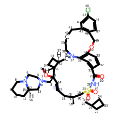 CO[C@@]1(CN2CCN3CCCC[C@@H]3C2)/C=C/C[C@H](C)[C@@H](CC2CCC2)S(=O)(=O)NC(=O)c2ccc3c(c2)N(CCCCc2cc(Cl)ccc2CO3)C[C@@H]2CC[C@H]21